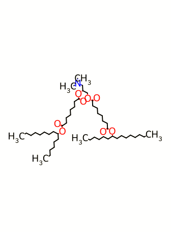 CCCCCCCCC(CCCCCC)OC(=O)CCCCCCC(=O)OCC(CN(C)C)OC(=O)CCCCCCC(=O)OC(CCCCCC)CCCCCCCC